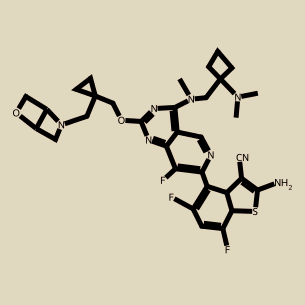 CN(CC1(N(C)C)CCC1)c1nc(OCC2(CN3CC4OCC43)CC2)nc2c(F)c(C3=C(F)C=C(F)C4SC(N)=C(C#N)C34)ncc12